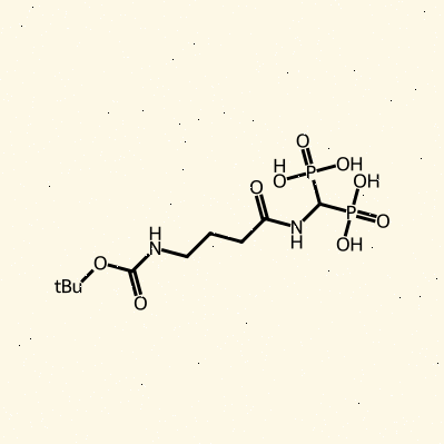 CC(C)(C)OC(=O)NCCCC(=O)NC(P(=O)(O)O)P(=O)(O)O